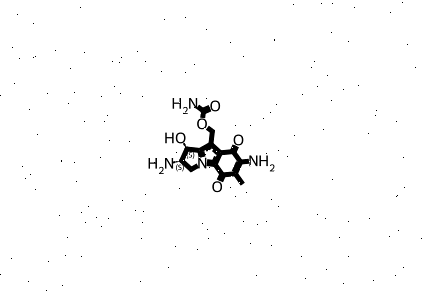 CC1=C(N)C(=O)c2c(COC(N)=O)c3n(c2C1=O)C[C@H](N)[C@@H]3O